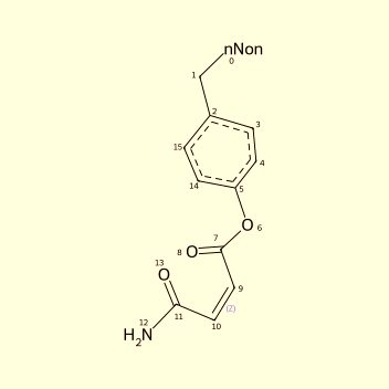 CCCCCCCCCCc1ccc(OC(=O)/C=C\C(N)=O)cc1